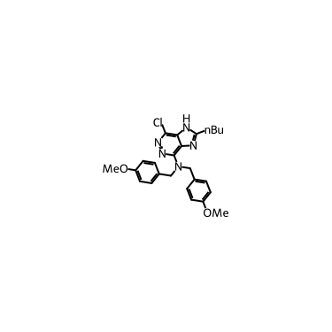 CCCCc1nc2c(N(Cc3ccc(OC)cc3)Cc3ccc(OC)cc3)nnc(Cl)c2[nH]1